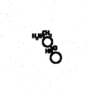 C[C@@H](N)C1CCCCC(C(=O)NC2CCCCCCCCCC2)CCCC1